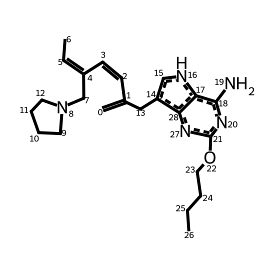 C=C(/C=C\C(=C/C)CN1CCCC1)Cc1c[nH]c2c(N)nc(OCCCC)nc12